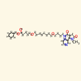 CN1C(=O)C[C@H](C(=O)NCCCCOCCCCCCCCOCCCCC(=O)OCc2ccccc2)[C@H]1c1cccnc1